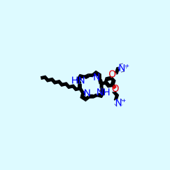 CCCCCCCCCCCc1c2nc(cc3ccc([nH]3)c(-c3cc(OCCC[N+](C)(C)C)cc(OCC[N+](C)(C)C)c3)c3nc(cc4ccc1[nH]4)C=C3)C=C2